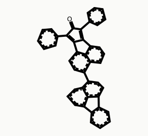 O=C1C(c2ccccc2)=C2C(=C1c1ccccc1)c1ccc(-c3ccc4c5c(cccc35)-c3ccccc3-4)c3cccc2c13